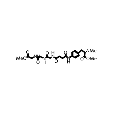 CN[C@@H](Cc1ccc(NC(=O)CCC(=O)NCC(=O)NCC(=O)NCC(=O)OC)cc1)C(=O)OC